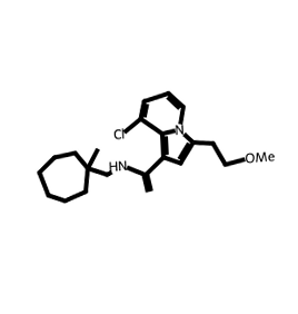 C=C(NCC1(C)CCCCCC1)c1cc(CCOC)n2cccc(Cl)c12